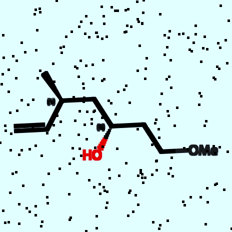 C=C[C@@H](C)C[C@@H](O)CCOC